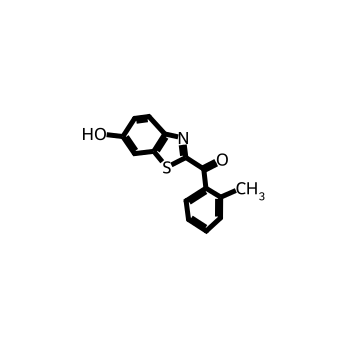 Cc1ccccc1C(=O)c1nc2ccc(O)cc2s1